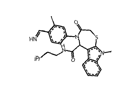 Cc1cc(N2C(=O)CSc3c(c4ccccc4n3C)C2C(=O)NCCC(C)C)ccc1C=N